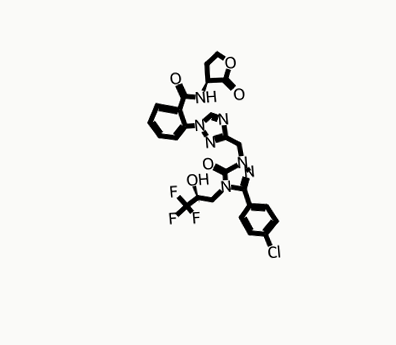 O=C(N[C@H]1CCOC1=O)c1ccccc1-n1cnc(Cn2nc(-c3ccc(Cl)cc3)n(C[C@H](O)C(F)(F)F)c2=O)n1